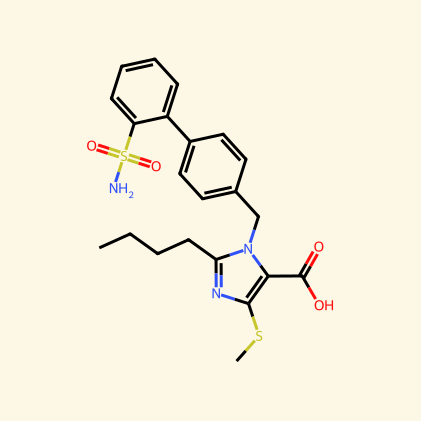 CCCCc1nc(SC)c(C(=O)O)n1Cc1ccc(-c2ccccc2S(N)(=O)=O)cc1